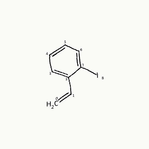 C=Cc1c[c]ccc1I